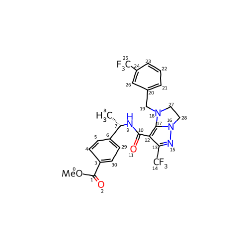 COC(=O)c1ccc([C@H](C)NC(=O)c2c(C(F)(F)F)nn3c2N(Cc2cccc(C(F)(F)F)c2)CC3)cc1